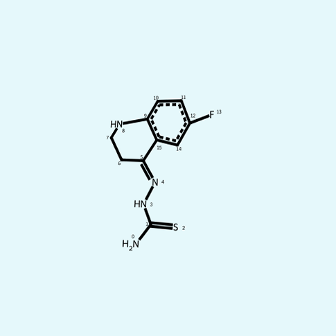 NC(=S)NN=C1CCNc2ccc(F)cc21